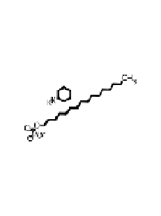 C1CCCCC1.CCCCCCCCCCCCCCCCOP(=O)([O-])[O-].[K+].[K+]